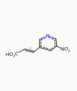 O=C(O)/C=C/c1cncc([N+](=O)[O-])c1